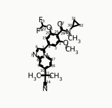 COc1cc(-c2cnc3cc(C(C)(C)C#N)ccn23)cc(OC(F)F)c1C(=O)N(C)C1CC1